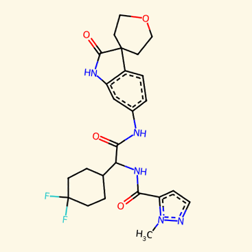 Cn1nccc1C(=O)NC(C(=O)Nc1ccc2c(c1)NC(=O)C21CCOCC1)C1CCC(F)(F)CC1